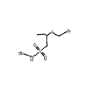 CC(C)CSC(C)CS(=O)(=O)NC(C)(C)C